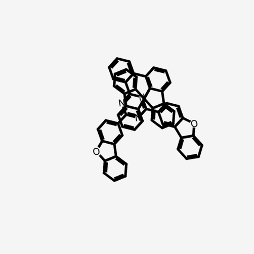 c1ccc(-c2cccc3c2C2(c4ccccc4-c4ccccc42)c2ccccc2-3)c(-c2nc(-c3ccc4oc5ccccc5c4c3)nc(-c3ccc4oc5ccccc5c4c3)n2)c1